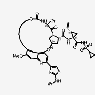 C=C[C@@H]1C[C@]1(NC(=O)[C@@H]1C[C@@H]2CN1C(=O)[C@H](C(C)C)NC(=O)OCCCCCCc1cc3c(cc(-c4csc(NC(C)C)n4)nc3cc1OC)O2)C(=O)NS(=O)(=O)C1CC1